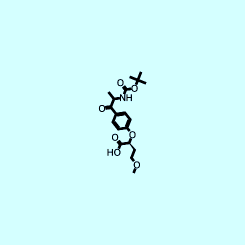 COCC[C@H](Oc1ccc(C(=O)C(C)NC(=O)OC(C)(C)C)cc1)C(=O)O